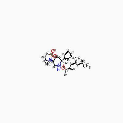 C=C(/C=C(\C=C(/C)C(F)(F)F)C(F)(F)F)[C@@H](C)OC[C@@]1(c2ccccc2)CC[C@](C#N)(N2CCCS2(=O)=O)CN1